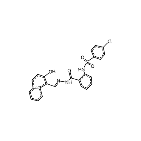 O=C(NN=Cc1c(O)ccc2ccccc12)c1ccccc1NS(=O)(=O)c1ccc(Cl)cc1